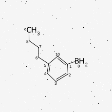 Bc1cccc(CCCC)c1